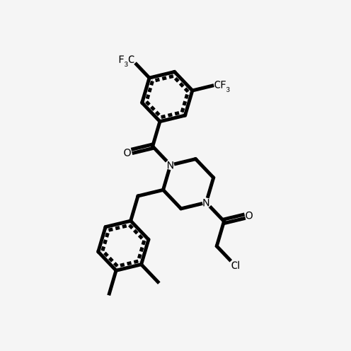 Cc1ccc(CC2CN(C(=O)CCl)CCN2C(=O)c2cc(C(F)(F)F)cc(C(F)(F)F)c2)cc1C